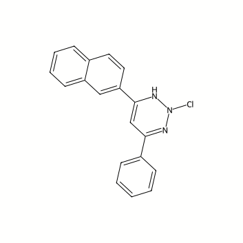 ClN1N=C(c2ccccc2)C=C(c2ccc3ccccc3c2)N1